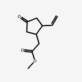 C=CC1CC(=O)CC1CC(=O)OC